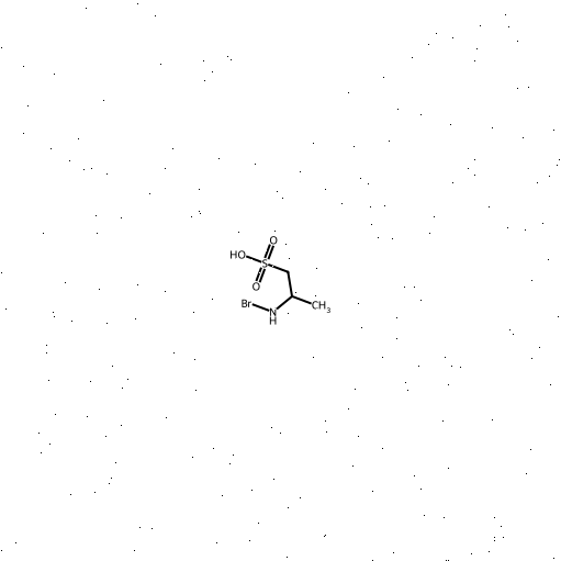 CC(CS(=O)(=O)O)NBr